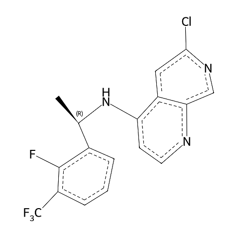 C[C@@H](Nc1ccnc2cnc(Cl)cc12)c1cccc(C(F)(F)F)c1F